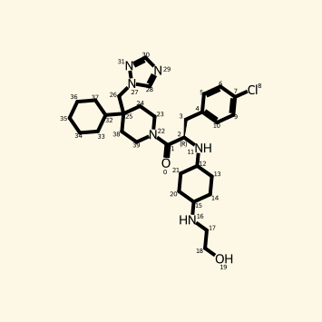 O=C([C@@H](Cc1ccc(Cl)cc1)NC1CCC(NCCO)CC1)N1CCC(Cn2cncn2)(C2CCCCC2)CC1